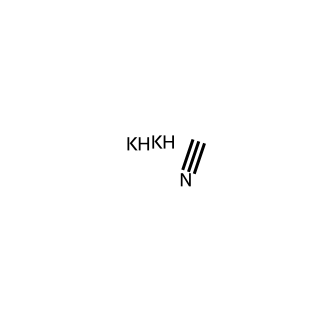 C#N.[KH].[KH]